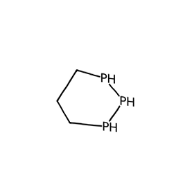 C1CPPPC1